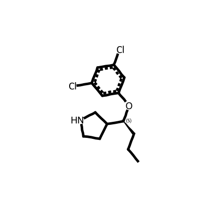 CCC[C@H](Oc1cc(Cl)cc(Cl)c1)C1CCNC1